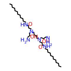 CCCCCCCCCCCCNC(=O)CCN(CCCCN(CCC(=O)NCCCCCCCCCCCC)CC(O)CN)CC(O)CN